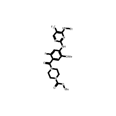 CCNc1nc(Nc2cc(F)c(C(=O)N3CCN(C(=O)OC(C)(C)C)CC3)cc2OC)ncc1C(F)(F)F